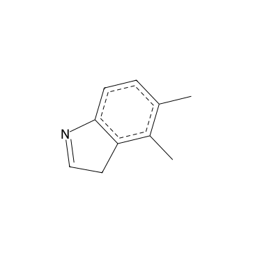 Cc1ccc2c(c1C)CC=N2